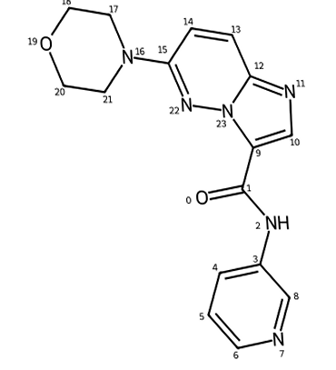 O=C(Nc1cccnc1)c1cnc2ccc(N3CCOCC3)nn12